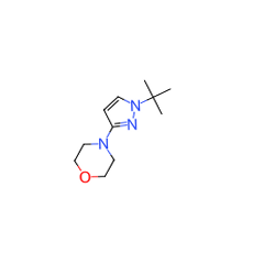 CC(C)(C)n1ccc(N2CCOCC2)n1